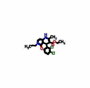 CCCn1ccc2c(c1=O)C(c1cccc(Cl)c1Cl)C(C(=O)OCC)=C(C)N2